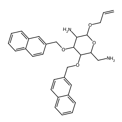 C=CCOC1OC(CN)C(OCc2ccc3ccccc3c2)C(OCc2ccc3ccccc3c2)C1N